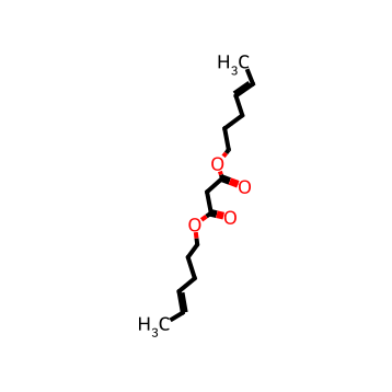 CC=CCCCOC(=O)CC(=O)OCCCC=CC